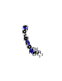 C=C1N(c2ccc(N3CCN(c4ccc(CC[C@@H]5CCC(c6ncccn6)C5)cc4)CC3)cc2)C=NN1C(C)CC